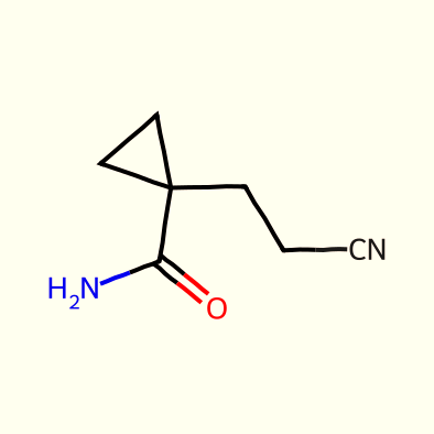 N#CCCC1(C(N)=O)CC1